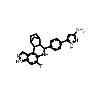 Nc1cc(-c2ccc(C3Nc4c(F)cc5[nH]ncc5c4C4C5CCC(C5)C34)cc2)[nH]n1